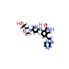 CC(C)(O)[C@H]1CN(c2ccc(Nc3ccc(-c4cnc5cnccn45)c4c3C(=O)NC4)nc2)CCO1